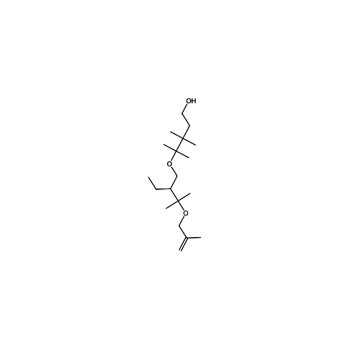 C=C(C)COC(C)(C)C(CC)COC(C)(C)C(C)(C)CCO